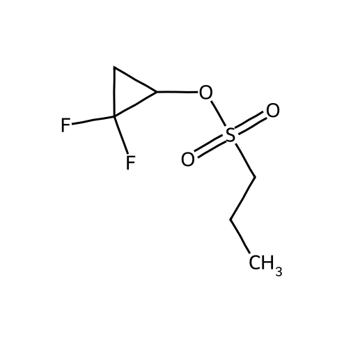 CCCS(=O)(=O)OC1CC1(F)F